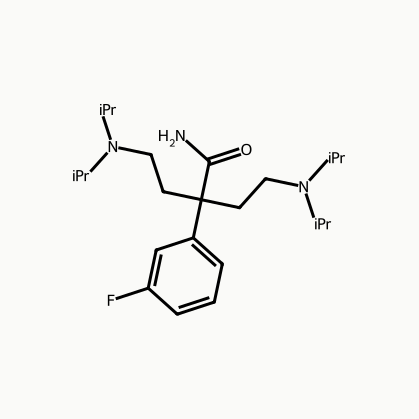 CC(C)N(CCC(CCN(C(C)C)C(C)C)(C(N)=O)c1cccc(F)c1)C(C)C